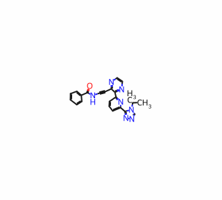 CC(C)n1cnnc1-c1cccc(-c2nccnc2C#CNC(=O)c2ccccc2)n1